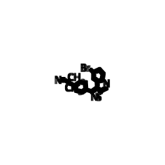 CC(C)(C#N)c1ccc(-c2nsc3cnc4ccc(Br)cc4c23)cc1